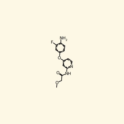 COCC(=O)Nc1cc(Oc2ccc(N)c(F)c2)ccn1